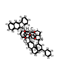 C[C@@H]1C/C=C(c2ccc(-c3ccccc3)cc2)/N=C(c2cccc(-c3ccccc3)c2)\N=C/1c1cc(-n2c3ccccc3c3cc4ccccc4cc32)cc2oc3cc4ccccc4cc3c12